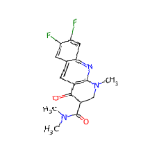 CN(C)C(=O)C1CN(C)c2nc3cc(F)c(F)cc3cc2C1=O